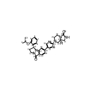 CC(F)Oc1ccccc1[C@@H]1CCn2c(=O)c3ccc(-c4cnc(N5CCN6C(=O)NC[C@@H]6C5)nc4)cc3n21